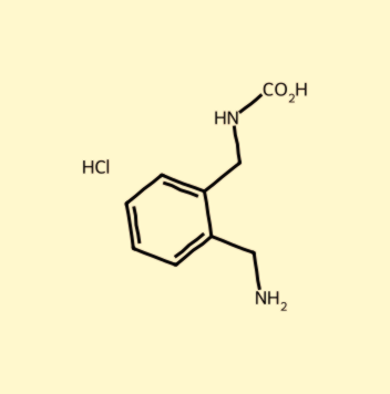 Cl.NCc1ccccc1CNC(=O)O